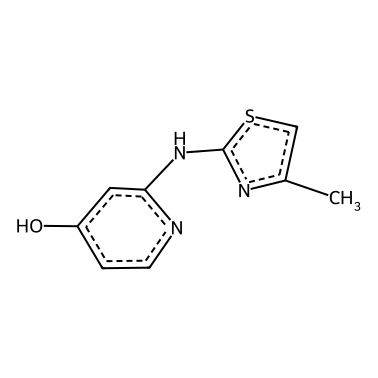 Cc1csc(Nc2cc(O)ccn2)n1